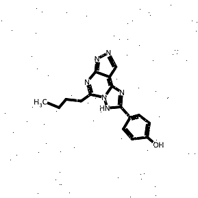 CCCCc1nc2nncc-2c2nc(-c3ccc(O)cc3)[nH]n12